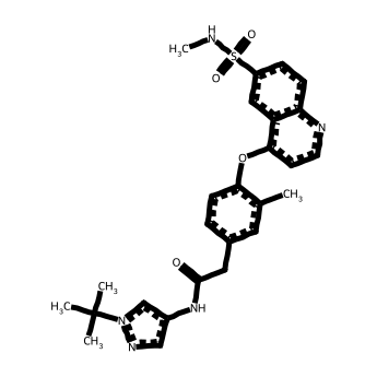 CNS(=O)(=O)c1ccc2nccc(Oc3ccc(CC(=O)Nc4cnn(C(C)(C)C)c4)cc3C)c2c1